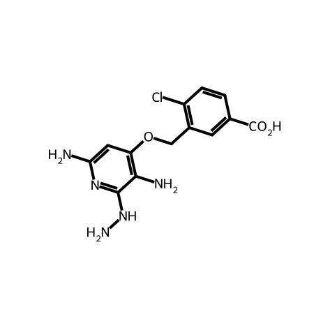 NNc1nc(N)cc(OCc2cc(C(=O)O)ccc2Cl)c1N